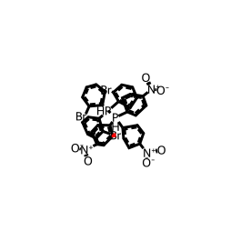 O=[N+]([O-])c1ccc([PH](c2ccc([N+](=O)[O-])cc2)(c2ccc([N+](=O)[O-])cc2)[PH](c2ccccc2Br)(c2ccccc2Br)c2ccccc2Br)cc1